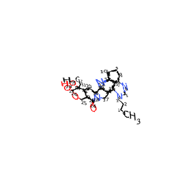 CCCCN1C=Nc2cccc3nc4c(c1c23)Cn1c-4cc2c(c1=O)COC(=O)[C@]2(O)CC